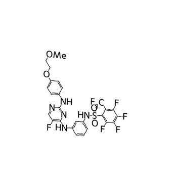 COCCOc1ccc(Nc2ncc(F)c(Nc3cccc(NS(=O)(=O)c4c(F)c(F)c(F)c(F)c4C(F)(F)F)c3)n2)cc1